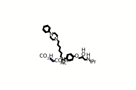 CC(=O)N(CCCCCCN1CCN(c2ccccc2)CC1)c1ccc(OC[C@@H](O)CNC(C)C)cc1.O=C(O)/C=C\C(=O)O